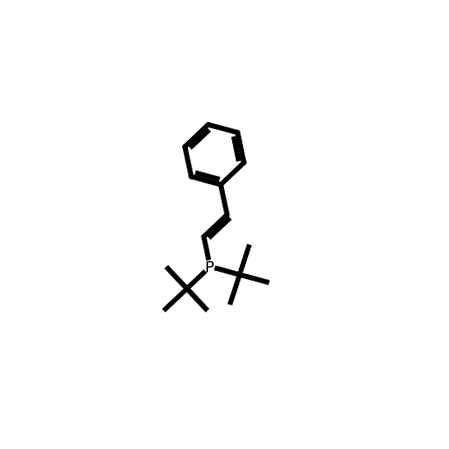 CC(C)(C)P(C=Cc1ccccc1)C(C)(C)C